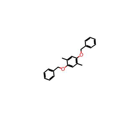 Cc1cc(OCc2ccccc2)c(C)cc1OCc1ccccc1